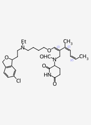 C\C=C/C=C(C)\C(=C\OCCCCN(CC)CCC1OCc2ccc(Cl)cc21)CN(C=O)C1CCC(=O)NC1=O